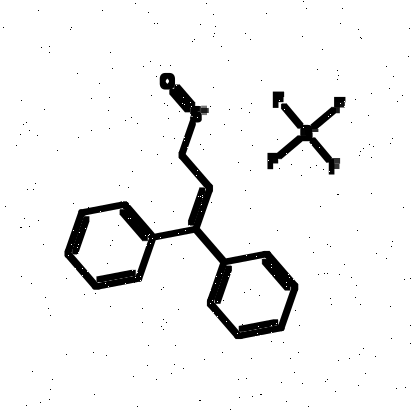 F[B-](F)(F)F.O=[S+]CC=C(c1ccccc1)c1ccccc1